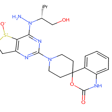 CC(C)[C@H](CO)N(N)c1nc(N2CCC3(CC2)OC(=O)Nc2ccccc23)nc2c1[S+]([O-])CC2